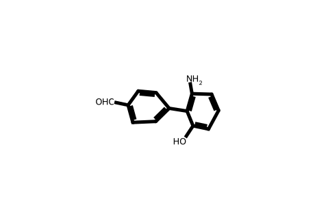 Nc1cccc(O)c1-c1ccc(C=O)cc1